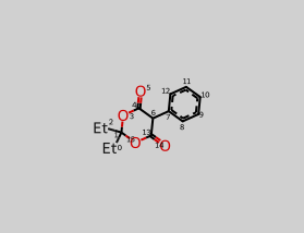 CCC1(CC)OC(=O)C(c2ccccc2)C(=O)O1